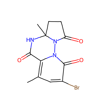 Cc1cc(Br)c(=O)n2c1C(=O)NC1(C)CCC(=O)N21